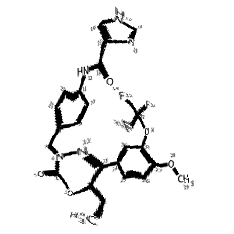 CCC1OC(=O)N(Cc2ccc(NC(=O)c3c[nH]cn3)cc2)N=C1c1ccc(OC)c(OC(F)(F)F)c1